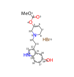 Br.COC(=O)OC1=CCCN(CCc2c[nH]c3ccc(O)cc23)C1